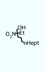 CCCCCCCCCCC(CC)(CO)[N+](=O)[O-]